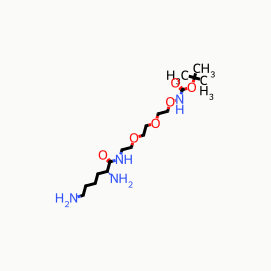 CC(C)(C)OC(=O)NOCCOCCOCCNC(=O)[C@H](N)CCCCN